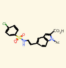 CC(=O)n1c(C(=O)O)cc2cc(CCNS(=O)(=O)c3ccc(Cl)cc3)ccc21